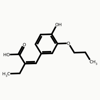 CCCOc1cc(C=C(CC)C(=O)O)ccc1O